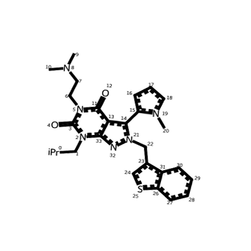 CC(C)Cn1c(=O)n(CCN(C)C)c(=O)c2c(-c3cccn3C)n(Cc3csc4ccccc34)nc21